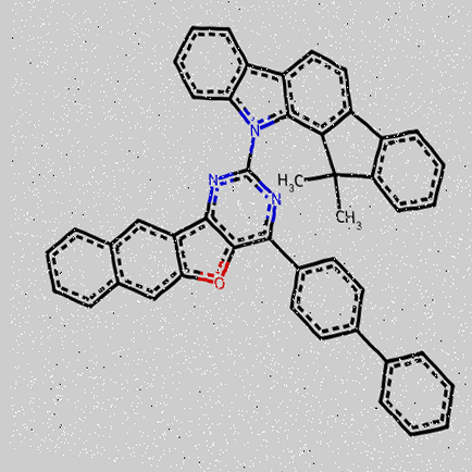 CC1(C)c2ccccc2-c2ccc3c4ccccc4n(-c4nc(-c5ccc(-c6ccccc6)cc5)c5oc6cc7ccccc7cc6c5n4)c3c21